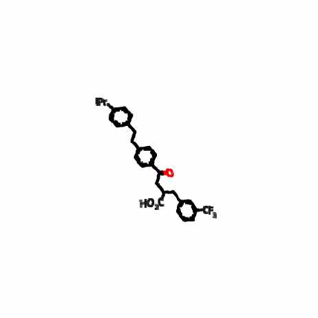 CC(C)c1ccc(CCc2ccc(C(=O)CC(Cc3cccc(C(F)(F)F)c3)C(=O)O)cc2)cc1